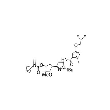 CO[C@@H]1C[C@H](c2cc(NC(=O)c3cc(OCC(F)F)nn3C)n(C(C)(C)C)n2)C[C@@H]1OC(=O)NC12CC(C1)C2